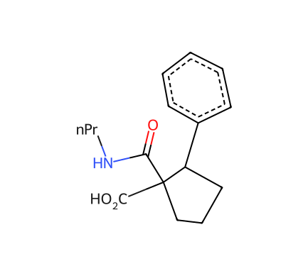 CCCNC(=O)C1(C(=O)O)CCCC1c1ccccc1